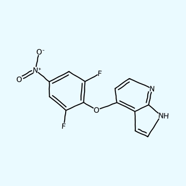 O=[N+]([O-])c1cc(F)c(Oc2ccnc3[nH]ccc23)c(F)c1